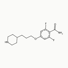 NC(=O)c1c(F)cc(OCCCC2CCNCC2)cc1F